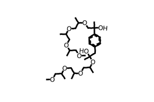 COCC(C)OCC(C)OCC(C)OCC(C)(O)c1ccc(CC(C)(O)OC(C)COC(C)COC(C)COC)cc1